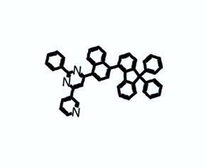 c1ccc(-c2nc(-c3cccnc3)cc(-c3ccc(-c4cccc5c4-c4ccccc4C5(c4ccccc4)c4ccccc4)c4ccccc34)n2)cc1